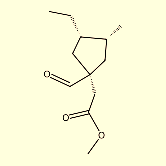 CC[C@H]1C[C@@](C=O)(CC(=O)OC)C[C@H]1C